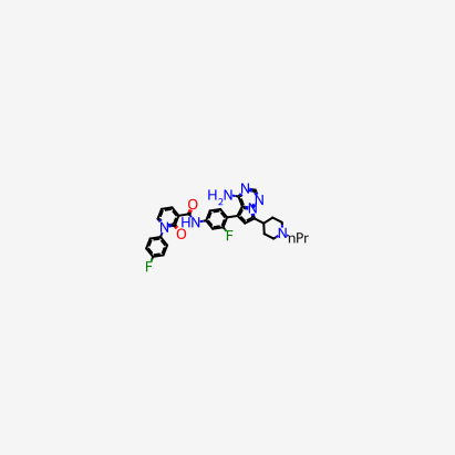 CCCN1CCC(c2cc(-c3ccc(NC(=O)c4cccn(-c5ccc(F)cc5)c4=O)cc3F)c3c(N)ncnn23)CC1